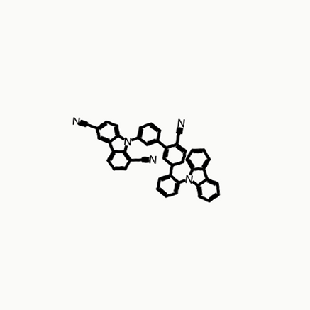 N#CC1=CCC(c2ccccc2-n2c3ccccc3c3ccccc32)C=C1c1cccc(-n2c3ccc(C#N)cc3c3cccc(C#N)c32)c1